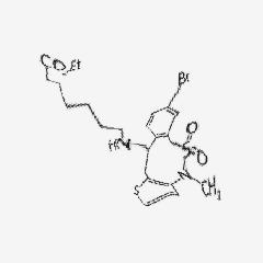 CCOC(=O)CCCCCCNC1c2ccc(Br)cc2S(=O)(=O)N(C)c2ccsc21